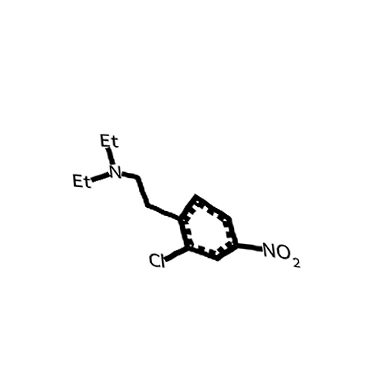 CCN(CC)CCc1ccc([N+](=O)[O-])cc1Cl